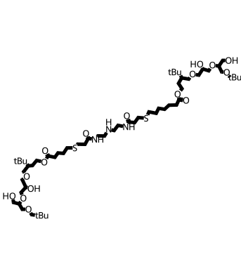 CC(C)(C)COCC(CO)OCC(O)COCC(CCOC(=O)CCCCSCCC(=O)NCCNCCNC(=O)CCSCCCCCCC(=O)OCCC(COCC(O)COC(CO)COC(C)(C)C)C(C)(C)C)C(C)(C)C